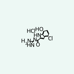 CNC(N)=NC(=O)c1cc2c(Cl)ccc(O)c2[nH]1.Cl